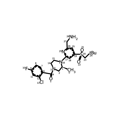 C[C@H]1CN(C(=O)c2ccc(F)cc2Cl)CCN1c1cc(S(=O)(=O)CC(C)(C)C)cc(CN)n1